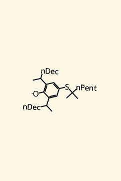 CCCCCCCCCCC(C)c1cc(SC(C)(C)CCCCC)cc(C(C)CCCCCCCCCC)c1[O]